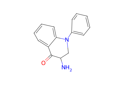 NC1CN(c2ccccc2)c2ccccc2C1=O